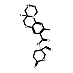 O=C[C@]1(NC(=O)c2cc3c(cc2F)N2CCNC[C@H]2CO3)CCC(=O)NC1